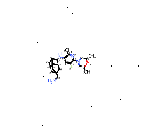 Cc1nc(N2CC(C)OC(C)C2)c(F)cc1NC1C2CC3CC1CC(CN)(C3)C2